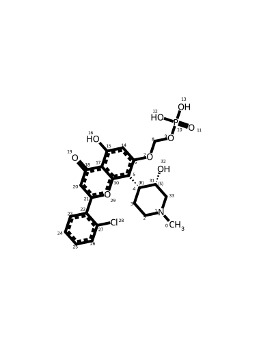 CN1CC[C@H](c2c(OCOP(=O)(O)O)cc(O)c3c(=O)cc(-c4ccccc4Cl)oc23)[C@H](O)C1